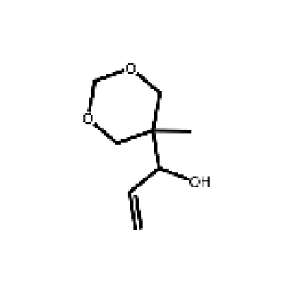 C=CC(O)C1(C)COCOC1